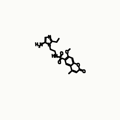 CCc1ncc(N)n1CCNS(=O)(=O)c1cc2c(C)cc(=O)oc2cc1OC